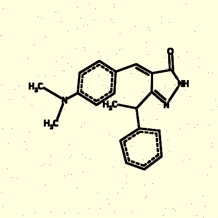 CC(C1=NNC(=O)/C1=C/c1ccc(N(C)C)cc1)c1ccccc1